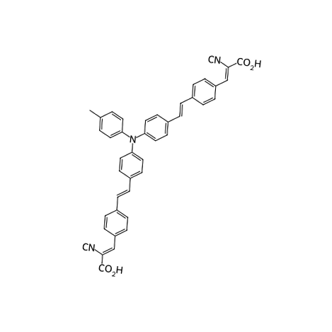 [C-]#[N+]/C(=C\c1ccc(/C=C/c2ccc(N(c3ccc(C)cc3)c3ccc(/C=C/c4ccc(/C=C(\[N+]#[C-])C(=O)O)cc4)cc3)cc2)cc1)C(=O)O